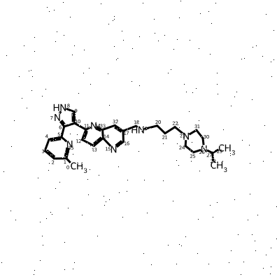 Cc1cccc(-c2n[nH]cc2-c2ccc3ncc(CNCCCN4CCN(C(C)C)CC4)cc3n2)n1